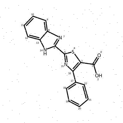 O=C(O)c1sc(-c2nc3ccccc3[nH]2)nc1-c1ccccc1